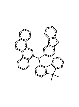 CC1(C)c2ccccc2-c2c(N(c3ccc4sc5ccccc5c4c3)c3cc4c5ccccc5ccc4c4ccccc34)cccc21